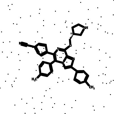 Cc1ccc(-c2cn3c(-c4ccc(C)cc4)c(-c4ccc(C#N)cc4)nc(OC[C@@H]4CCNC4)c3n2)cc1